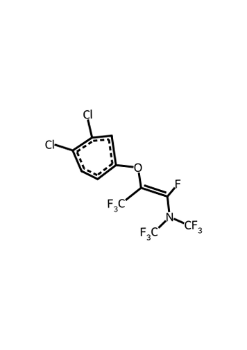 F/C(=C(\Oc1ccc(Cl)c(Cl)c1)C(F)(F)F)N(C(F)(F)F)C(F)(F)F